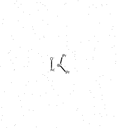 CC(=O)[O-].C[CH](C)[Bi+][CH](C)C